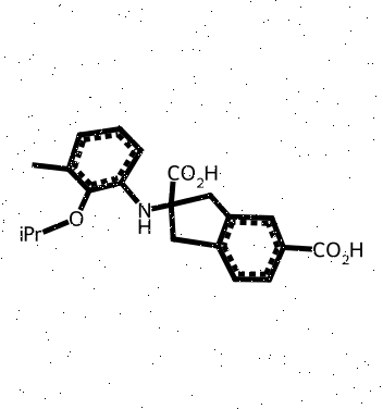 Cc1cccc(NC2(C(=O)O)Cc3ccc(C(=O)O)cc3C2)c1OC(C)C